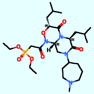 CCOP(=O)(CC(=O)N1O[C@H](CC(C)C)C(=O)N2[C@@H]1CN(C1CCCN(C)CC1)C(=O)[C@@H]2CC(C)C)OCC